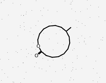 CC1CCCCCCCC(=O)OCCCCCC1